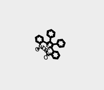 O=[N+]([O-])c1ccccc1-c1sc(-c2ccccc2[N+](=O)[O-])c(-c2ccccc2)c1-c1ccccc1